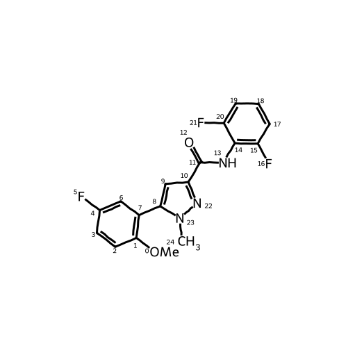 COc1ccc(F)cc1-c1cc(C(=O)Nc2c(F)cccc2F)nn1C